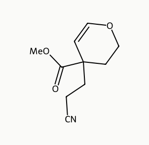 COC(=O)C1(CCC#N)C=COCC1